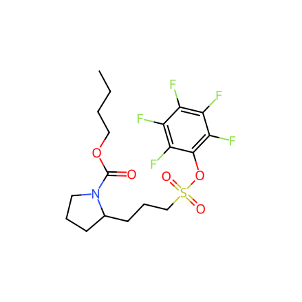 CCCCOC(=O)N1CCCC1CCCS(=O)(=O)Oc1c(F)c(F)c(F)c(F)c1F